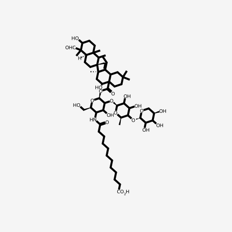 C/C=C1/C2CC(C)(C)CCC2(C(=O)O[C@@H]2O[C@H](CO)C(NC(=O)CCCCCCCCCCC(=O)O)C(O)C2O[C@@H]2O[C@H](C)C(O[C@@H]3OC[C@@H](O)C(O)C3O)C(O)C2O)[C@@H](O)C[C@@]1(C)[C@]1(C)CC[C@H]2C(C)(C=O)C(O)CCC2(C)C1C